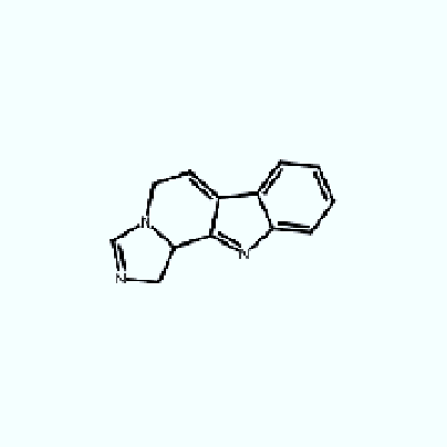 C1=NCC2C3=Nc4ccccc4C3=CCN12